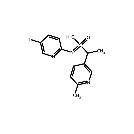 Cc1ccc(C(C)S(C)(=O)=Nc2ccc(F)cn2)cn1